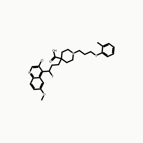 COc1ccc2ncc(Cl)c(C(F)CCC3(C(=O)O)CCN(CCCSc4ccccc4C)CC3)c2c1